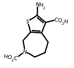 Nc1sc2c(c1C(=O)O)CCCN(C(=O)O)C2